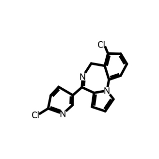 Clc1ccc(C2=NCc3c(Cl)cccc3-n3cccc32)cn1